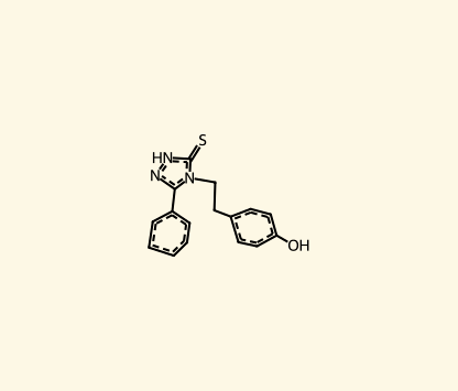 Oc1ccc(CCn2c(-c3ccccc3)n[nH]c2=S)cc1